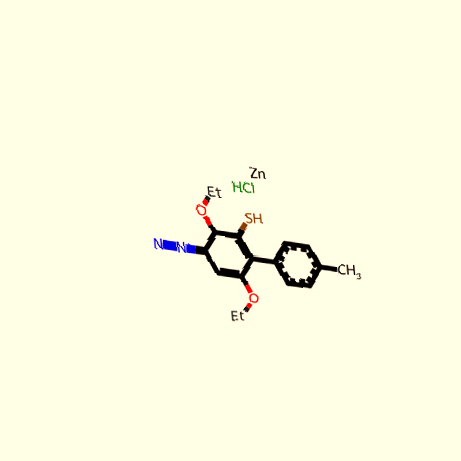 CCOC1=CC(=[N+]=[N-])C(OCC)C(S)=C1c1ccc(C)cc1.Cl.[Zn]